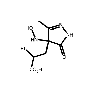 CCC(CC1(NO)C(=O)NN=C1C)C(=O)O